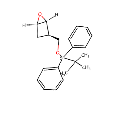 CC(C)(C)[Si](OC[C@H]1C[C@H]2O[C@@H]12)(c1ccccc1)c1ccccc1